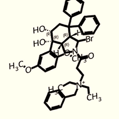 CC[N+](CC)(CCC(=O)N1C[C@H]2[C@@H](C1Br)C(c1ccccc1)(c1ccccc1)C[C@@H](O)[C@]2(O)c1cc(OC)ccc1OC)Cc1ccccc1